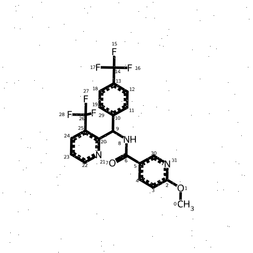 COc1ccc(C(=O)NC(c2ccc(C(F)(F)F)cc2)c2ncccc2C(F)(F)F)cn1